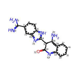 N=C(N)c1ccc2[nH]c(C3C(=O)N=c4ccccc4=C3N)nc2c1